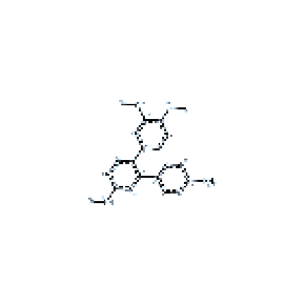 CNc1ncc(-c2ccc(OC)c(OC)c2)c(-c2cnc(N)nc2)n1